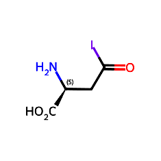 N[C@@H](CC(=O)I)C(=O)O